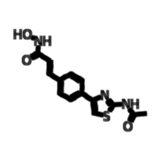 CC(=O)Nc1nc(-c2ccc(C=CC(=O)NO)cc2)cs1